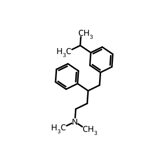 CC(C)c1cccc(CC(CCN(C)C)c2ccccc2)c1